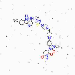 CC(C)Nc1c(-c2nnc(N3CCN(CC4CCN(c5ccc6c(c5)n(C)c(=O)n6C5CCC(=O)NC5=O)CC4)CC3)s2)cnc2c1[nH]c1cc(C#N)ccc12